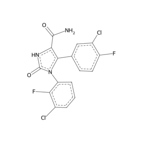 NC(=O)c1[nH]c(=O)n(-c2cccc(Cl)c2F)c1-c1ccc(F)c(Cl)c1